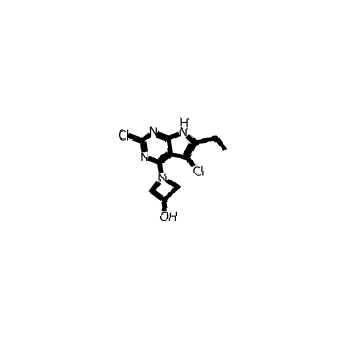 CCc1[nH]c2nc(Cl)nc(N3CC(O)C3)c2c1Cl